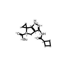 CC(C)(C)C(=O)N1Cc2c(NC(=O)C3CCC3)n[nH]c2C12CC2